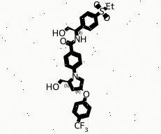 CCS(=O)(=O)c1ccc([C@H](CO)NC(=O)c2ccc(N3C[C@H](Oc4ccc(C(F)(F)F)cc4)C[C@H]3CO)cc2)cc1